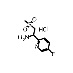 CS(=O)(=O)CC(N)c1ccc(F)cn1.Cl